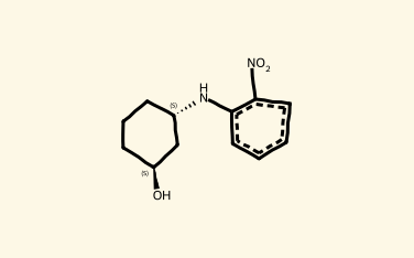 O=[N+]([O-])c1ccccc1N[C@H]1CCC[C@H](O)C1